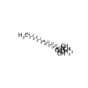 CCCCCCCCC=CCCCCCCCCC(C)(C(=O)O)N(C)C